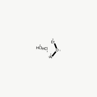 CC[O][Al].Cl.Cl